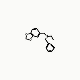 CCN(Cc1ccccc1)Cc1ccc2c(c1)OCO2